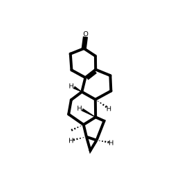 C[C@]12CC[C@@H]3C4=C(CC[C@H]3[C@@H]1C[C@H]1C[C@H]12)CC(=O)CC4